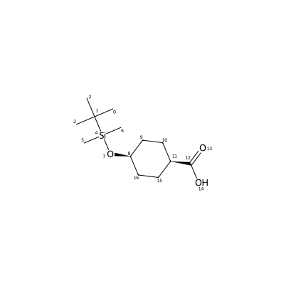 CC(C)(C)[Si](C)(C)O[C@H]1CC[C@@H](C(=O)O)CC1